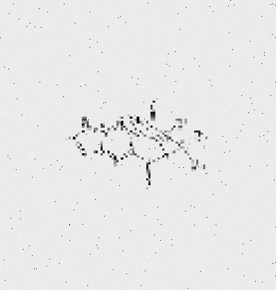 CCOC12C(=O)c3nc4ccoc4nc3C(=O)C1(O)C2(C)C